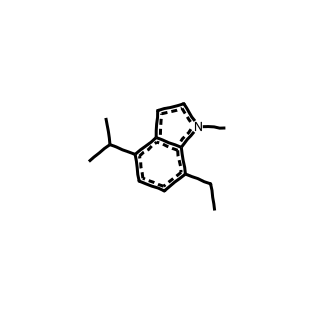 CCc1ccc(C(C)C)c2ccn(C)c12